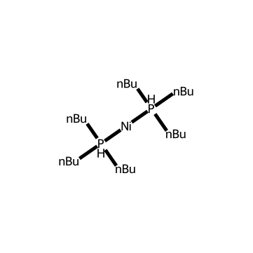 CCCC[PH](CCCC)(CCCC)[Ni][PH](CCCC)(CCCC)CCCC